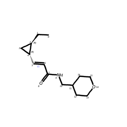 CC[C@@H]1C[C@H]1/C=C/C(=O)NCC1CCOCC1